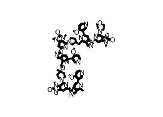 COc1ccncc1-c1cc2c(cnn2-c2cc3c(c(N4CCC(C)(OCc5nc(-c6cnccc6OC)cc6c5cnn6-c5cc6c(c(N7CCC(Cc8nc(-c9cnccc9OC)cc9c8cnn9-c8cc9c(c(N%10CCOCC%10)n8)n(C)c(=O)n9C)C7)n5)n(C)c(=O)n6C)CC4)n2)n(C)c(=O)n3C)c(C)n1